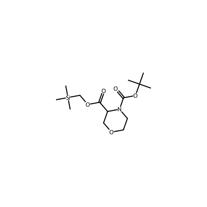 CC(C)(C)OC(=O)N1CCOCC1C(=O)OC[Si](C)(C)C